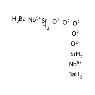 [BaH2].[BaH2].[Nb+5].[Nb+5].[O-2].[O-2].[O-2].[O-2].[O-2].[SrH2].[SrH2]